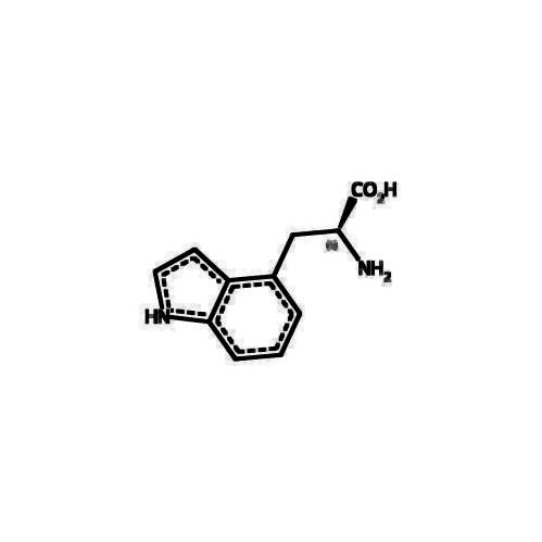 N[C@@H](Cc1cccc2[nH]ccc12)C(=O)O